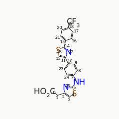 O=C(O)Cc1csc(Nc2ccc(-c3csc(-c4ccc(C(F)(F)F)cc4)n3)cc2)n1